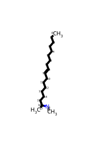 CCCCCCCC/C=C/CCCCCCC(C)[N]C